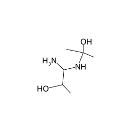 CC(O)C(N)NC(C)(C)O